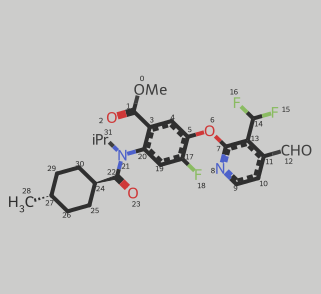 COC(=O)c1cc(Oc2nccc(C=O)c2C(F)F)c(F)cc1N(C(=O)[C@H]1CC[C@H](C)CC1)C(C)C